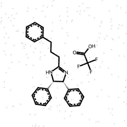 O=C(O)C(F)(F)F.c1ccc(CCCC2=N[C@H](c3ccccc3)[C@H](c3ccccc3)N2)cc1